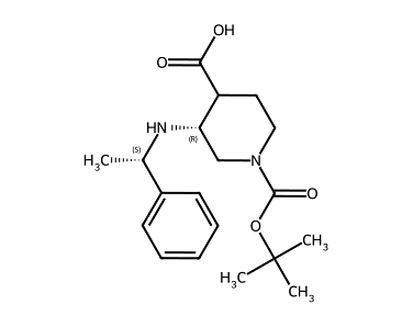 C[C@H](N[C@H]1CN(C(=O)OC(C)(C)C)CCC1C(=O)O)c1ccccc1